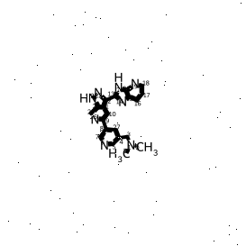 CN(C)Cc1cncc(-c2cc3c(-c4nc5cccnc5[nH]4)n[nH]c3cn2)c1